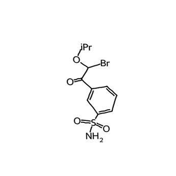 CC(C)OC(Br)C(=O)c1cccc(S(N)(=O)=O)c1